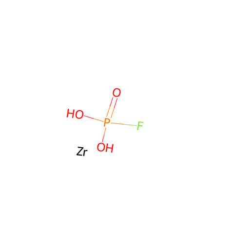 O=P(O)(O)F.[Zr]